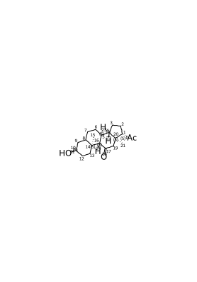 CC(=O)[C@H]1CC[C@H]2[C@@H]3CCC4C[C@H](O)CC[C@]4(C)[C@H]3C(=O)C[C@]12C